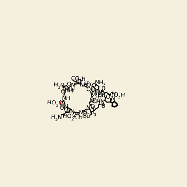 CCC(C)CCCCCCC(=O)NC(Cc1c[nH]c2ccccc12)C(=O)NC(CCC(=O)O)C(=O)NC(CC(N)=O)C(=O)NC1C(=O)N(C)CC(=O)NC(C)C(=O)NC(CC(=O)O)C(=O)NC(CCCCN)C(=O)NC(C(O)C(=O)O)C(=O)NCC(=O)NC(CC(N)=O)C(=O)NC(C(C)CC(=O)O)C(=O)NC(C(C)C)C(=O)OC1C